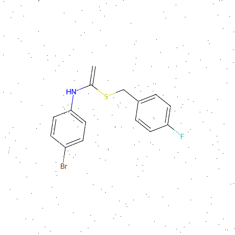 C=C(Nc1ccc(Br)cc1)SCc1ccc(F)cc1